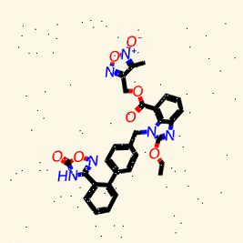 CCOc1nc2cccc(C(=O)OCc3no[n+]([O-])c3C)c2n1Cc1ccc(-c2ccccc2-c2noc(=O)[nH]2)cc1